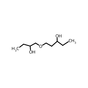 CCC(O)CCOCC(O)CC